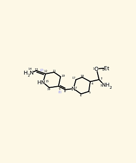 CCOC(N)C1CCN(/C=C2\CC/C(=C/N)NC2)CC1